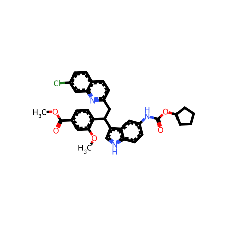 COC(=O)c1ccc(C(Cc2ccc3ccc(Cl)cc3n2)c2c[nH]c3ccc(NC(=O)OC4CCCC4)cc23)c(OC)c1